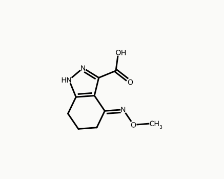 CON=C1CCCc2[nH]nc(C(=O)O)c21